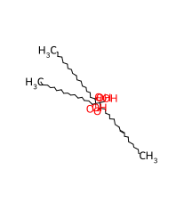 CCCCCCCCC=CCCCCCCCC(=O)C(O)(CO)C(O)(C(=O)CCCCCCCCCCCCCCC)C(=O)CCCCCCCCCCCCCCCCC